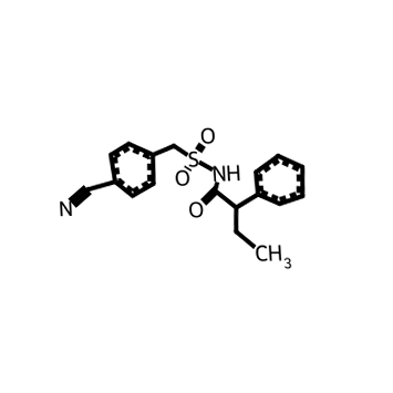 CCC(C(=O)NS(=O)(=O)Cc1ccc(C#N)cc1)c1ccccc1